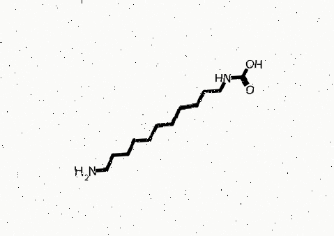 NCCCCCCCCCCCNC(=O)O